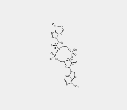 Nc1ncnc2c1ncn2C1OC2COP(=O)(S)O[C@@H]3C(COP(=O)(S)O[C@H]2[C@H]1F)OC(n1cnc2c(=O)[nH]cnc21)[C@@H]3F